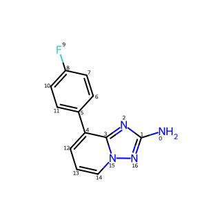 Nc1nc2c(-c3ccc(F)cc3)cccn2n1